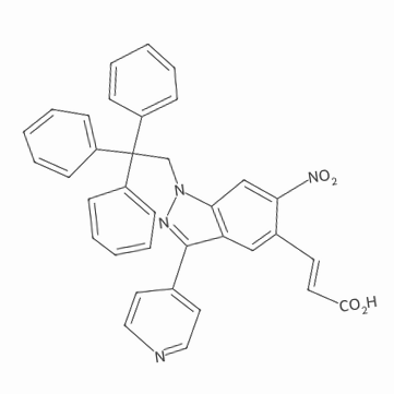 O=C(O)/C=C/c1cc2c(-c3ccncc3)nn(CC(c3ccccc3)(c3ccccc3)c3ccccc3)c2cc1[N+](=O)[O-]